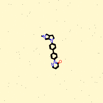 CN1C=C2C(CCN2c2ccc(-c3ccc(-n4ncccc4=O)cc3)cc2)C1